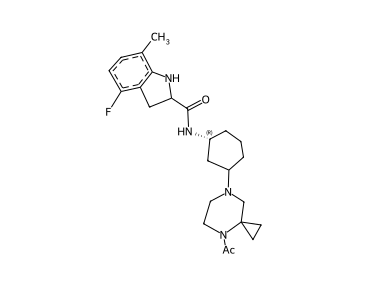 CC(=O)N1CCN(C2CCC[C@@H](NC(=O)C3Cc4c(F)ccc(C)c4N3)C2)CC12CC2